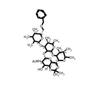 CC(=O)N[C@H]1C(O)[C@@H]2OC(C)(C)OCC2O[C@H]1OC1[C@H](OC2[C@H](C)OC(C)[C@H](C)[C@@H]2C)OC(C)[C@H](C)[C@@H]1O[C@H]1O[C@@H](COCc2ccccc2)[C@@H](C)C(C)C1C